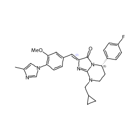 COc1cc(/C=C2\N=C3N(CC4CC4)CC[C@@H](c4ccc(F)cc4)N3C2=O)ccc1-n1cnc(C)c1